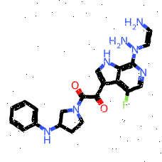 N/C=C\N(N)c1ncc(F)c2c(C(=O)C(=O)N3CCC(Nc4ccccc4)C3)c[nH]c12